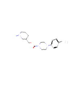 Cc1ccc(N2CCN(C(=O)OCC3CCCN(C)C3)CC2)cc1